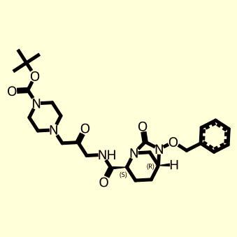 CC(C)(C)OC(=O)N1CCN(CC(=O)CNC(=O)[C@@H]2CC[C@@H]3CN2C(=O)N3OCc2ccccc2)CC1